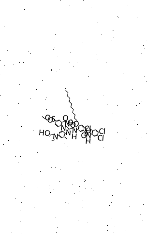 CCCCCCCCCCCCOc1ccc(S(=O)(=O)Nc2cc(Cl)c(Cl)cc2Cl)cc1NC(=O)/C(=N/c1ccc(N(CC)CCO)cc1C)c1nc2ccc(SOOCC)cc2c(=O)n1OC